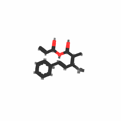 C=CC(=O)OC(=O)C(C)=C(C=Cc1ccccc1)CCCC